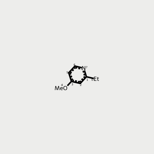 CCc1cc(OC)ccn1